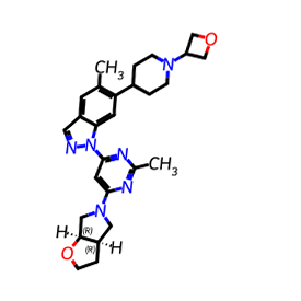 Cc1nc(N2C[C@H]3CCO[C@H]3C2)cc(-n2ncc3cc(C)c(C4CCN(C5COC5)CC4)cc32)n1